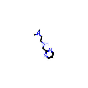 CN(C)CCNCc1ncccn1